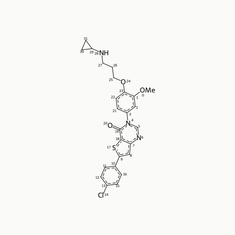 COc1cc(-n2cnc3cc(-c4ccc(Cl)cc4)sc3c2=O)ccc1OCCCNC1CC1